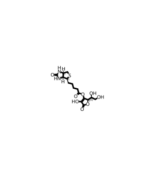 O=C1N[C@H]2[C@H](CS[C@H]2CCCCC(=O)OC2=C(O)C(=O)O[C@@H]2[C@@H](O)CO)N1